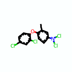 Cc1cc(N(Cl)Cl)ccc1Oc1ccc(Cl)cc1Cl